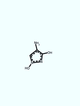 Nc1cn(O)nc1O